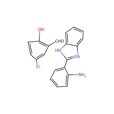 Nc1ccccc1-c1nc2ccccc2[nH]1.O=Cc1cc(Cl)ccc1O